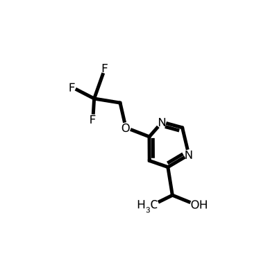 CC(O)c1cc(OCC(F)(F)F)ncn1